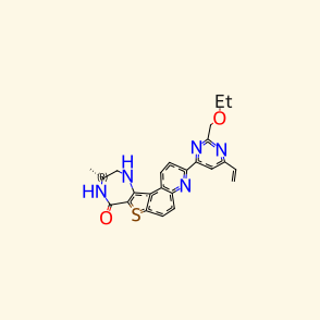 C=Cc1cc(-c2ccc3c(ccc4sc5c(c43)NC[C@@H](C)NC5=O)n2)nc(COCC)n1